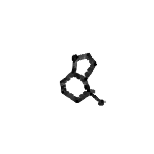 [O-][n+]1cccc2occc21